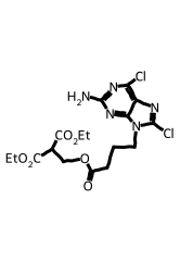 CCOC(=O)C(COC(=O)CCCn1c(Cl)nc2c(Cl)nc(N)nc21)C(=O)OCC